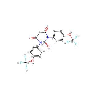 O=C1CC(=O)N(c2ccc(OC(F)(F)F)cc2)C(=O)N1c1ccc(OC(F)(F)F)cc1